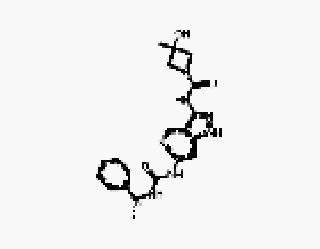 C[C@@H](NC(=O)Nc1cc2[nH]nc(NC(=O)N3CC(C)(O)C3)c2cn1)c1ccccc1